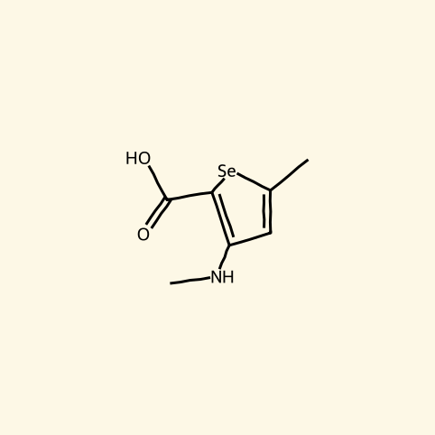 CNc1cc(C)[se]c1C(=O)O